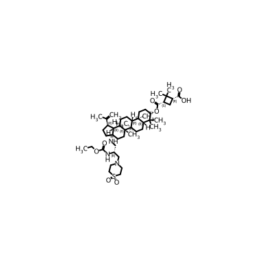 C=C(C)[C@@H]1CC[C@]2(NC[C@H](CN3CCS(=O)(=O)CC3)NC(=O)OCC)CC[C@]3(C)[C@H](CC[C@@H]4[C@@]5(C)CC[C@H](OC(=O)[C@H]6C[C@@H](C(=O)O)C6(C)C)C(C)(C)[C@@H]5CC[C@]43C)[C@@H]12